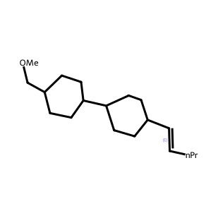 CCC/C=C/C1CCC(C2CCC(COC)CC2)CC1